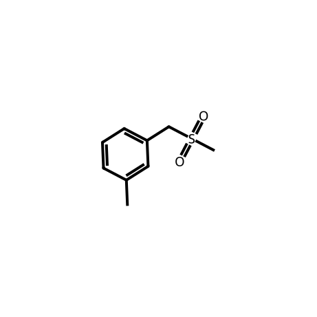 Cc1cccc(CS(C)(=O)=O)c1